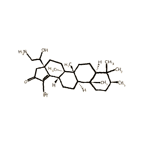 CC(C)C1=C2[C@H]3CC[C@@H]4[C@@]5(C)CC[C@H](C)C(C)(C)[C@@H]5CC[C@@]4(C)[C@]3(C)CC[C@@]2(C(O)CN)CC1=O